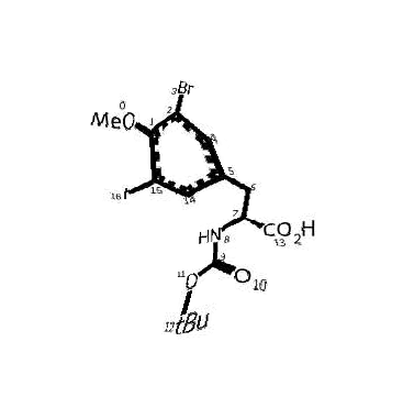 COc1c(Br)cc(C[C@H](NC(=O)OC(C)(C)C)C(=O)O)cc1I